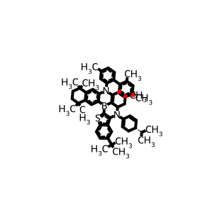 CC1=CC2=C3B(c4cc5c(cc4N2c2cc(C)ccc2-c2ccc(C)cc2C)C(C)(C)CCC5(C)C)c2sc4ccc(C(C)(C)C)cc4c2N(C2=CC[C@@H](C(C)C)C=C2)C3C1